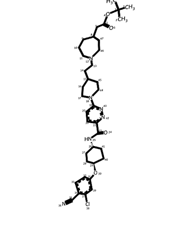 CC(C)(C)OC(=O)CC1CCCN(CCC2CCN(c3ccc(C(=O)N[C@H]4CC[C@H](Oc5ccc(C#N)c(Cl)c5)CC4)nn3)CC2)CC1